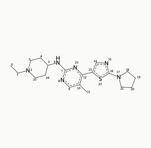 CCN1CCC(Nc2ncc(C)c(-c3cnc(N4CCCC4)s3)n2)CC1